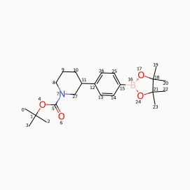 CC(C)(C)OC(=O)N1CCCC(c2ccc(B3OC(C)(C)C(C)(C)O3)cc2)C1